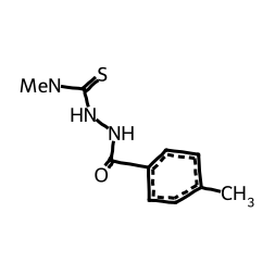 CNC(=S)NNC(=O)c1ccc(C)cc1